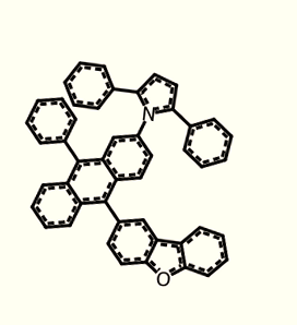 c1ccc(-c2c3ccccc3c(-c3ccc4oc5ccccc5c4c3)c3ccc(-n4c(-c5ccccc5)ccc4-c4ccccc4)cc23)cc1